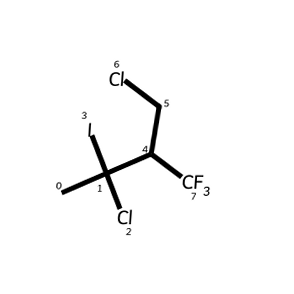 CC(Cl)(I)C(CCl)C(F)(F)F